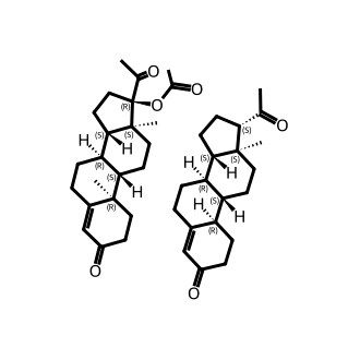 CC(=O)O[C@]1(C(C)=O)CC[C@H]2[C@@H]3CCC4=CC(=O)CC[C@]4(C)[C@H]3CC[C@@]21C.CC(=O)[C@H]1CC[C@H]2[C@@H]3CCC4=CC(=O)CC[C@@H]4[C@H]3CC[C@]12C